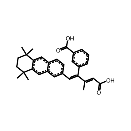 CC(=C\C(=O)O)/C(=C/c1ccc2cc3c(cc2c1)C(C)(C)CCC3(C)C)c1cccc(C(=O)O)c1